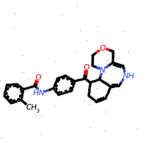 Cc1ccccc1C(=O)Nc1ccc(C(=O)C2CC=CC3=CNC=C4COCCN4C32)cc1